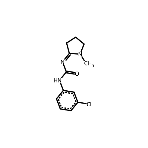 CN1CCCC1=NC(=O)Nc1cccc(Cl)c1